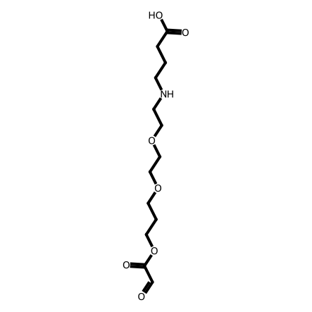 O=CC(=O)OCCCOCCOCCNCCCC(=O)O